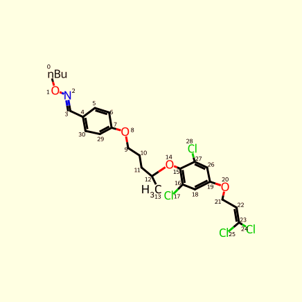 CCCCON=Cc1ccc(OCCCC(C)Oc2c(Cl)cc(OCC=C(Cl)Cl)cc2Cl)cc1